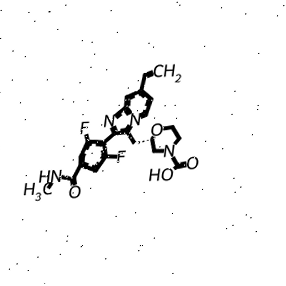 C=Cc1ccn2c(C[C@H]3CN(C(=O)O)CCO3)c(-c3c(F)cc(C(=O)NC)cc3F)nc2c1